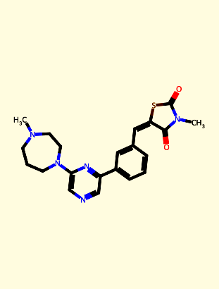 CN1CCCN(c2cncc(-c3cccc(/C=C4/SC(=O)N(C)C4=O)c3)n2)CC1